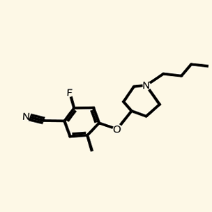 CCCCN1CCC(Oc2cc(F)c(C#N)cc2C)CC1